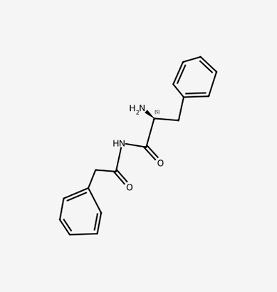 N[C@@H](Cc1ccccc1)C(=O)NC(=O)Cc1ccccc1